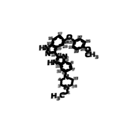 CCN1CCN(c2ccc3nc(-c4n[nH]c5ccc(Oc6ccc(OC)cc6)cc45)[nH]c3c2)CC1